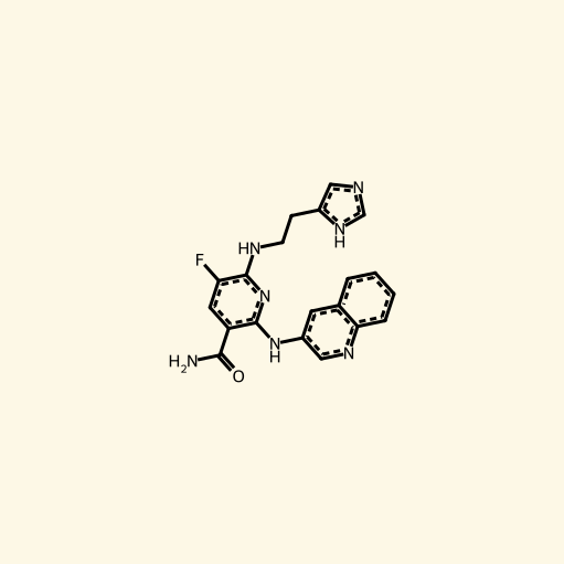 NC(=O)c1cc(F)c(NCCc2cnc[nH]2)nc1Nc1cnc2ccccc2c1